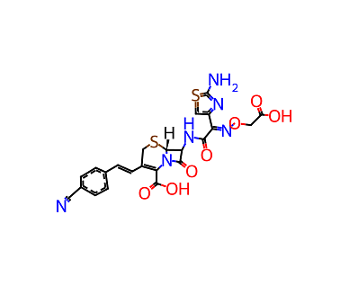 N#Cc1ccc(/C=C/C2=C(C(=O)O)N3C(=O)C(NC(=O)/C(=N/OCC(=O)O)c4csc(N)n4)[C@H]3SC2)cc1